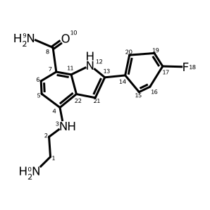 NCCNc1ccc(C(N)=O)c2[nH]c(-c3ccc(F)cc3)cc12